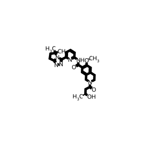 COc1cc2c(cc1C(=O)Nc1cccc(-c3nnc4n3C(C)(C)CC4)n1)CN(C(=O)C[C@H](C)O)CC2